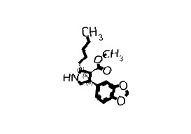 CCCCC[C@H]1NC[C@H](c2ccc3c(c2)OCO3)[C@@H]1C(=O)OC